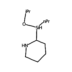 CCC[SiH](OC(C)C)C1CCCCN1